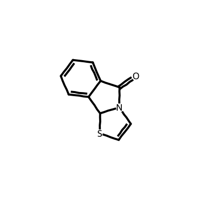 O=C1c2ccccc2C2SC=CN12